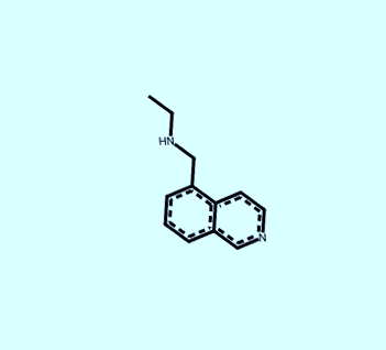 CCNCc1cccc2cnccc12